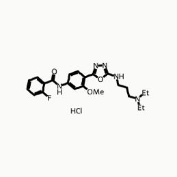 CCN(CC)CCCNc1nnc(-c2ccc(NC(=O)c3ccccc3F)cc2OC)o1.Cl